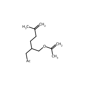 C=C(C)CCC(COC(=C)C)CC(C)=O